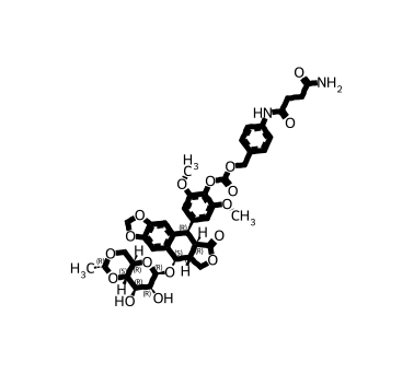 COc1cc([C@@H]2c3cc4c(cc3[C@@H](O[C@@H]3O[C@@H]5CO[C@@H](C)O[C@H]5[C@H](O)[C@H]3O)[C@H]3COC(=O)[C@H]23)OCO4)cc(OC)c1OC(=O)OCc1ccc(NC(=O)CCC(N)=O)cc1